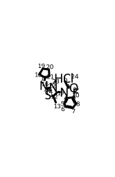 CC(=O)N(c1ccccc1F)C1C(C)SC(=NC2CCCC2)N1C.Cl